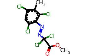 COC(=O)C(Cl)(Cl)N=Nc1c(Cl)cc(Cl)c(C)c1Cl